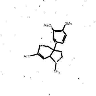 COc1ccc(C23CCC(OC(C)=O)=CC2N(C)CC3)cc1OC